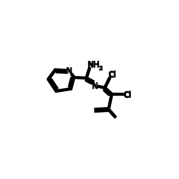 C=C(C)/C(Cl)=C(Cl)\N=C(/N)c1ccccn1